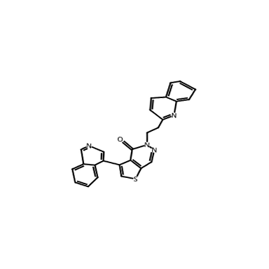 O=c1c2c(-c3cncc4ccccc34)csc2cnn1CCc1ccc2ccccc2n1